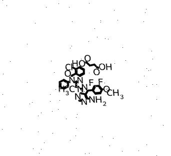 COc1ccc(-c2nn([C@@H](C)c3nc4cccc(Cl)c4c(=O)n3-c3ccccc3)c3ncnc(N)c23)c(F)c1F.O=C(O)CCC(=O)O